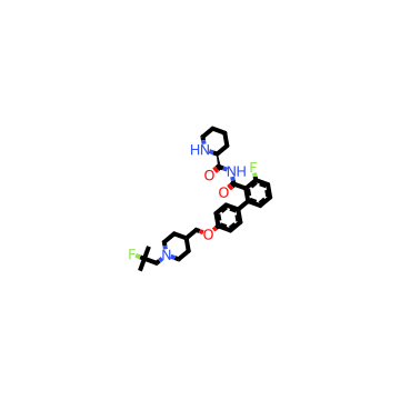 CC(C)(F)CN1CCC(COc2ccc(-c3cccc(F)c3C(=O)NC(=O)[C@@H]3CCCCN3)cc2)CC1